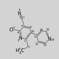 CCc1nc(Cl)c(C#N)cc1-c1ccncc1